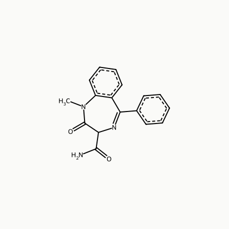 CN1C(=O)C(C(N)=O)N=C(c2ccccc2)c2ccccc21